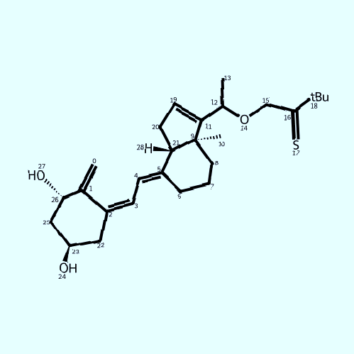 C=C1/C(=C\C=C2/CCC[C@]3(C)C(C(C)OCC(=S)C(C)(C)C)=CC[C@@H]23)C[C@@H](O)C[C@@H]1O